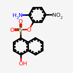 Nc1ccc([N+](=O)[O-])cc1OS(=O)(=O)c1ccc(O)c2ccccc12